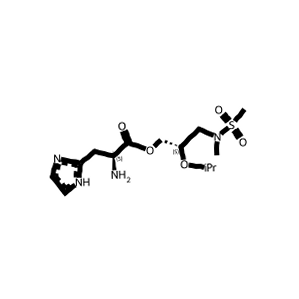 CC(C)O[C@H](COC(=O)[C@@H](N)Cc1ncc[nH]1)CN(C)S(C)(=O)=O